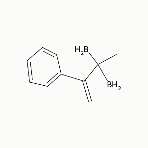 BC(B)(C)C(=C)c1ccccc1